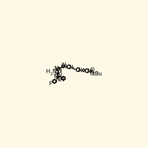 CC(C)(C)OC(=O)N1CCC2(CC1)CC(N1CCC(CCN3CCC(n4cc(-c5cnc(N)c(C(=O)O[C@@H](C(=O)Nc6ccc(F)cc6)c6ccccc6)n5)cn4)CC3)CC1)C2